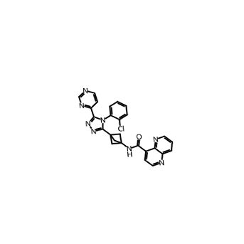 O=C(NC12CC(c3nnc(-c4ccncn4)n3-c3ccccc3Cl)(C1)C2)c1ccnc2cccnc12